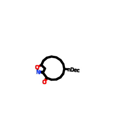 CCCCCCCCCCC1CCCCCCC2CC(=NO2)C(=O)CCCC1